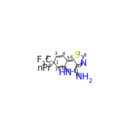 CCCC1(C(F)(F)F)C=CC2=c3scnc3=C(N)NC2=C1